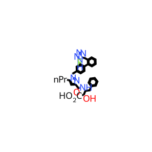 CCCc1cc(C(=O)NC(Cc2ccccc2)C(O)C(=O)O)nn1Cc1ccc(-c2ccccc2-c2nnn[nH]2)c(F)c1